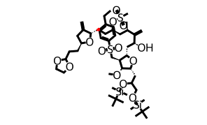 C=C([C@H](C)C[C@@H](CC[C@@H]1O[C@@H](CCC2OCCO2)CC1=C)OS(C)(=O)=O)[C@H](O)C[C@@H]1O[C@H](CC(CO[Si](C)(C)C(C)(C)C)O[Si](C)(C)C(C)(C)C)[C@H](OC)[C@H]1CS(=O)(=O)c1ccc(CC)cc1